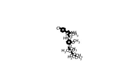 CNc1cc(-c2ccc(Cl)cc2)sc1C(=O)Nc1ccc(OCC(C)(C)OC(=O)C(=O)OC(C)(C)C)c(OC)c1